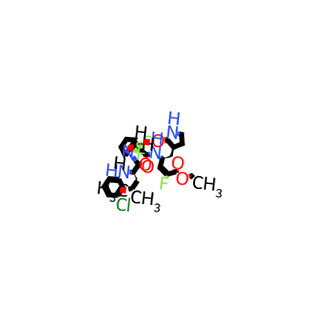 CCOC(=O)/C(F)=C\[C@@H](C[C@@H]1CCNC1=O)NC(=O)[C@@H]1[C@@H]2CC[C@@H](CC2(F)F)N1C(=O)[C@H](CC(C)C)Nc1cccc(Cl)c1